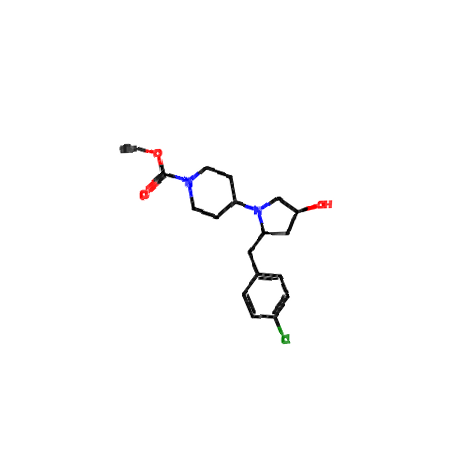 CC(C)(C)OC(=O)N1CCC(N2C[C@@H](O)CC2Cc2ccc(Cl)cc2)CC1